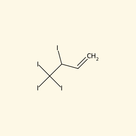 C=CC(I)C(I)(I)I